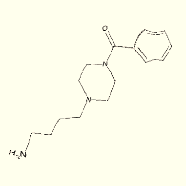 NCCCCN1CCN(C(=O)c2ccccc2)CC1